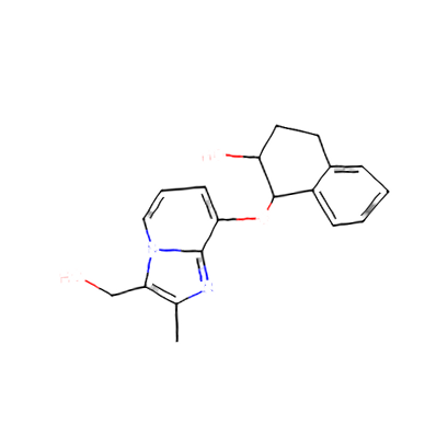 Cc1nc2c(OC3c4ccccc4CCC3O)cccn2c1CO